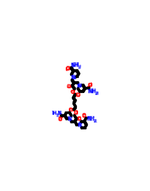 NC(=O)C1CCCN(CC(CN2CCCC(C(N)=O)C2)C(=O)COC(=O)CCCCC(=O)OCC(=O)C(CN2CCCC(C(N)=O)C2)CN2CCCC(C(N)=O)C2)C1